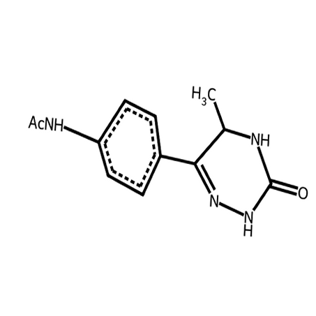 CC(=O)Nc1ccc(C2=NNC(=O)NC2C)cc1